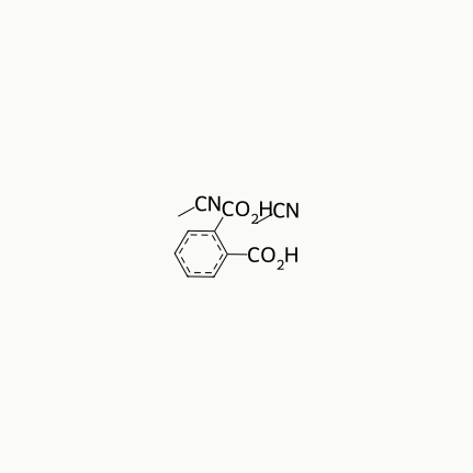 CC#N.CC#N.O=C(O)c1ccccc1C(=O)O